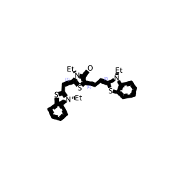 CCN1/C(=C/C=c2/s/c(=C\c3sc4ccccc4[n+]3CC)n(CC)c2=O)Sc2ccccc21